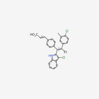 CC/C(=C(/c1ccc(/C=C/C(=O)O)cc1)c1[nH]c2ccccc2c1Cl)c1ccc(Cl)c(C)c1